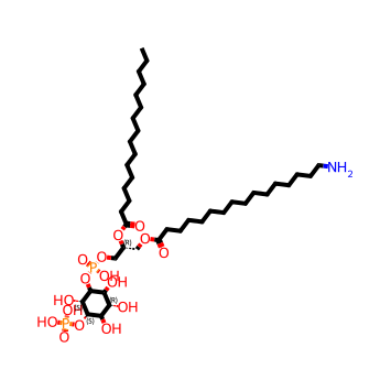 CCCCCCCCCCCCCCCC(=O)O[C@H](COC(=O)CCCCCCCCCCCCCCCN)COP(=O)(O)OC1C(O)[C@H](O)C(O)[C@H](OP(=O)(O)O)[C@@H]1O